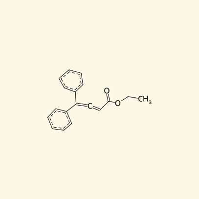 CCOC(=O)C=C=C(c1ccccc1)c1ccccc1